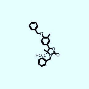 Cc1cc(C2OC(=O)N(Cc3ccccc3)[C@]2(C)C(=O)O)ccc1OCc1ccccc1